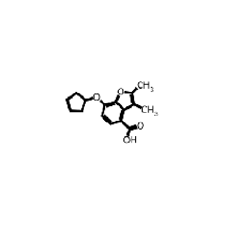 Cc1oc2c(OC3CCCC3)ccc(C(=O)O)c2c1C